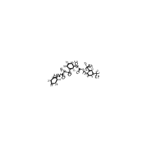 CCC(C)(C)c1ccc(OCC(=O)Nc2cccc(C(=O)C(F)C(=O)Nc3ccccc3)c2)c(C(C)(C)CC)c1